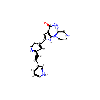 NC(=O)c1cc(-c2ccnc(/C=C/c3cccnc3)c2)[nH]c1N1CCNCC1